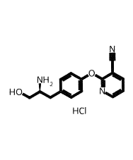 Cl.N#Cc1cccnc1Oc1ccc(C[C@H](N)CO)cc1